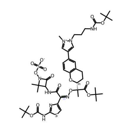 C[n+]1cc(-c2ccc3c(c2)CC[C@H](C(C)(O/N=C(\C(=O)NC2C(=O)N(OS(=O)(=O)[O-])C2(C)C)c2csc(NC(=O)OC(C)(C)C)n2)C(=O)OC(C)(C)C)O3)cn1CCCNC(=O)OC(C)(C)C